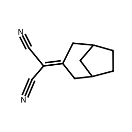 N#CC(C#N)=C1CC2CCC(C1)C2